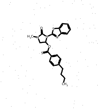 CCCCc1ccc(C(=S)OC2CN(C)C(=O)N2c2nc3ccccc3s2)cc1